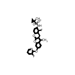 Cc1c(Cc2cccc(NS(=O)(=O)C3(C)CC3)c2F)c(=O)oc2cc(Oc3ncccc3F)ccc12